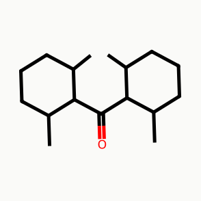 CC1CCCC(C)C1C(=O)C1C(C)CCCC1C